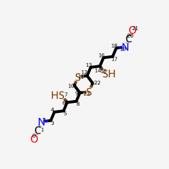 O=C=NCCCC(S)CC1CSC(CC(S)CCCN=C=O)CS1